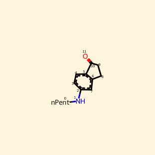 CCCCCNc1ccc2c(c1)CCC2=O